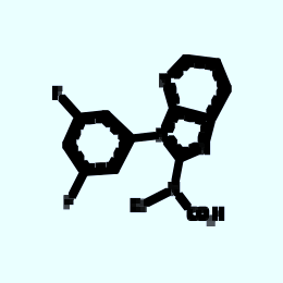 CCN(C(=O)O)c1nc2cccnc2n1-c1cc(F)cc(F)c1